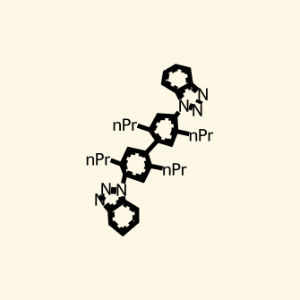 CCCc1cc(-n2nnc3ccccc32)c(CCC)cc1-c1cc(CCC)c(-n2nnc3ccccc32)cc1CCC